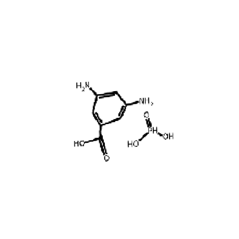 Nc1cc(N)cc(C(=O)O)c1.O=[PH](O)O